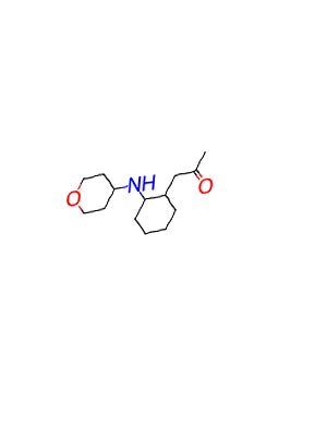 CC(=O)CC1CCCCC1NC1CCOCC1